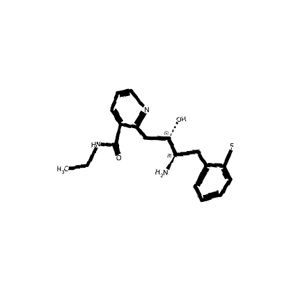 CCNC(=O)c1cccnc1C[C@H](O)[C@H](N)Cc1ccccc1F